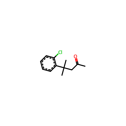 CC(=O)CC(C)(C)c1ccccc1Cl